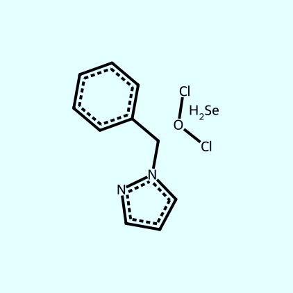 ClOCl.[SeH2].c1ccc(Cn2cccn2)cc1